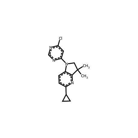 CC1(C)CN(c2cc(Cl)ncn2)c2ccc(C3CC3)nc21